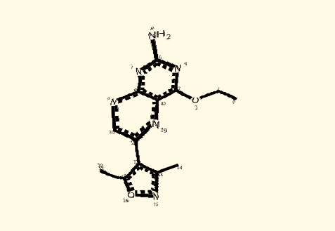 CCOc1nc(N)nc2ncc(-c3c(C)noc3C)nc12